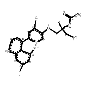 CC(C)CC(C)(COc1cnc(-c2ccnc3cc(F)cc(F)c23)cc1Cl)OC(N)=O